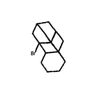 BrC12CC3CC(C1)C1CCCC2C1C3